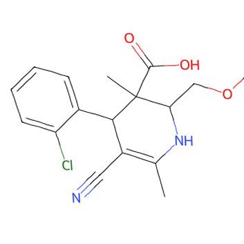 COCC1NC(C)=C(C#N)C(c2ccccc2Cl)C1(C)C(=O)O